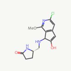 COc1nc(Cl)cc2c1C(NC[C@@H]1CCC(=O)N1)C(O)=C2